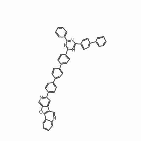 c1ccc(-c2ccc(-c3nc(-c4ccccc4)nc(-c4ccc(-c5ccc(-c6ccc(-c7cc8c(cn7)oc7c9ccccc9ncc87)cc6)cc5)cc4)n3)cc2)cc1